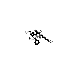 CCn1ncc2c(NC(C)C3CCCCC3)c(C(=O)NCCCCCCO)cnc21